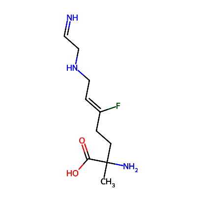 CC(N)(CC/C(F)=C/CNCC=N)C(=O)O